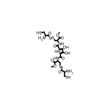 COC(=O)C(CSSC(=O)[C@@H](N)CS)NC(=O)c1[nH]c(C(=O)NC(CSSC(=O)[C@@H](N)CS)C(=O)OC)c(O)c1O